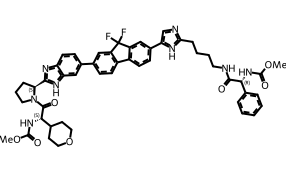 COC(=O)N[C@H](C(=O)N1CCC[C@H]1c1nc2ccc(-c3ccc4c(c3)C(F)(F)c3cc(-c5cnc(CCCCNC(=O)[C@H](NC(=O)OC)c6ccccc6)[nH]5)ccc3-4)cc2[nH]1)C1CCOCC1